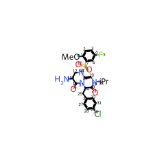 COc1ccc(F)cc1S(=O)(=O)N1CC(N)C(=O)N2C1=CN(C(C)C)C(=O)C2Cc1ccc(Cl)cc1